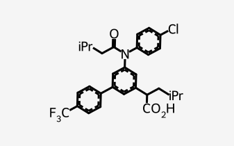 CC(C)CC(=O)N(c1ccc(Cl)cc1)c1cc(-c2ccc(C(F)(F)F)cc2)cc(C(CC(C)C)C(=O)O)c1